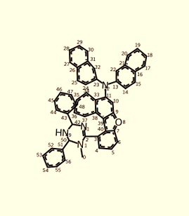 CN1C(c2cccc3oc4cc(N(c5ccc6ccccc6c5)c5ccc6ccccc6c5)c5ccccc5c4c23)=NC(c2ccccc2)NC1c1ccccc1